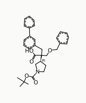 CC(C)(C)OC(=O)N1CC[C@H](C(COCc2ccccc2)(Cc2cccc(-c3ccccc3)c2)C(=O)O)C1